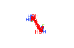 CC(C)[C@@H](C(=O)NO)N(Cc1cn(CCF)nn1)S(=O)(=O)c1ccc(OCCOCCOCCOCCOCCOc2ccc(S(=O)(=O)N(Cc3cn(CCF)[nH]3)[C@@H](C(=O)NO)C(C)C)cc2)cc1